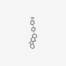 N#Cc1ccc(-c2ccc(-c3ccc4nc5c(cc4c3)oc3ccccc35)cc2)cc1